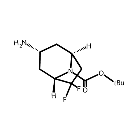 CC(C)(C)OC(=O)N1[C@H]2C[C@@H](N)C[C@H]1C(F)(F)C2